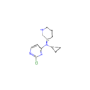 Clc1nccc(N(C2CC2)[C@@H]2CCCNC2)n1